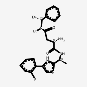 CC[C@H](c1ccccc1)N(CC)C(=O)C[C@H](N)C(=O)N[C@@H](C)c1ncc(-c2ccccc2F)[nH]1